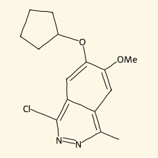 COc1cc2c(C)nnc(Cl)c2cc1OC1CCCC1